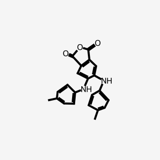 Cc1ccc(Nc2cc3c(cc2Nc2ccc(C)cc2)C(=O)OC3=O)cc1